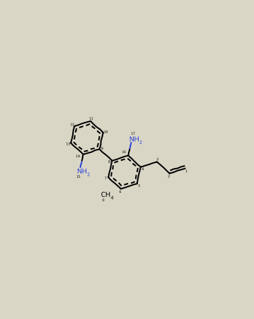 C.C=CCc1cccc(-c2ccccc2N)c1N